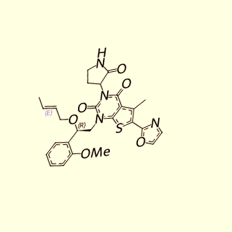 C/C=C/CO[C@@H](Cn1c(=O)n(C2CCNC2=O)c(=O)c2c(C)c(-c3ncco3)sc21)c1ccccc1OC